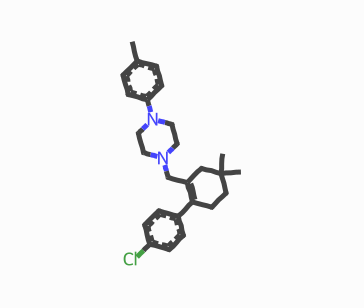 Cc1ccc(N2CCN(CC3=C(c4ccc(Cl)cc4)CCC(C)(C)C3)CC2)cc1